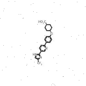 O=C(O)[C@H]1CC[C@@H](Oc2ccc(-c3ccc(-c4nc(C(F)(F)F)c[nH]4)cn3)cc2)CC1